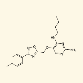 CCCCNc1nc(N)ncc1OCc1nc(C2=CCC(C)C=C2)no1